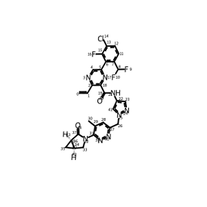 C=Cc1ncc(-c2c(C(F)F)ccc(Cl)c2F)nc1C(=O)Nc1cnn(Cc2cc(C)c(N3C[C@H]4C[C@H]4C3=O)nn2)c1